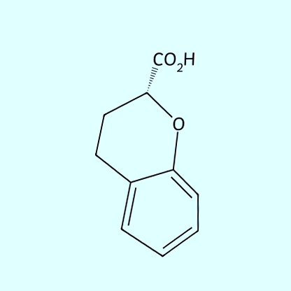 O=[14C](O)[C@H]1CCc2ccccc2O1